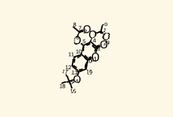 CC(=O)Oc1c(OC(C)=O)c2ccc(OC(C)(C)C)cc2oc1=O